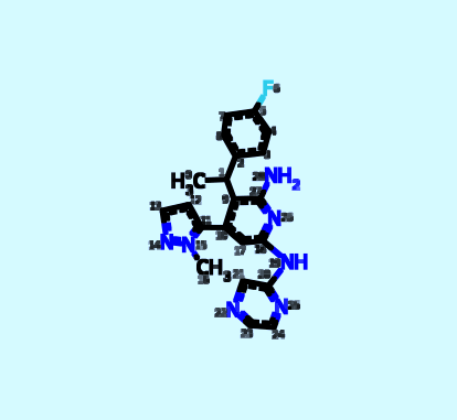 CC(c1ccc(F)cc1)c1c(-c2ccnn2C)cc(Nc2cnccn2)nc1N